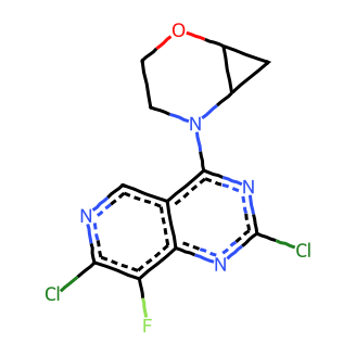 Fc1c(Cl)ncc2c(N3CCOC4CC43)nc(Cl)nc12